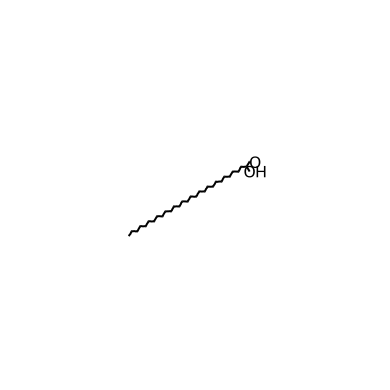 CCCCCCCCCCCCCCCCCCCCCCCCCCCCC(O)C=O